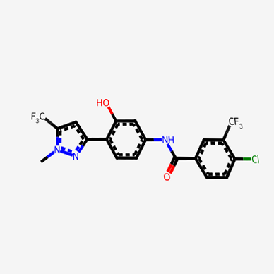 Cn1nc(-c2ccc(NC(=O)c3ccc(Cl)c(C(F)(F)F)c3)cc2O)cc1C(F)(F)F